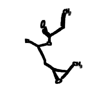 C=CC(=O)OC(CC)CC1OC1C